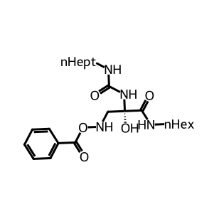 CCCCCCCNC(=O)N[C@](O)(CNOC(=O)c1ccccc1)C(=O)NCCCCCC